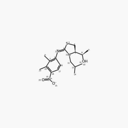 Cc1c(N=C2SC[C@@H]([C@@H](C)O)N2CC(C)C)ccc([N+](=O)[O-])c1C